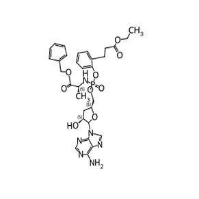 CCOC(=O)CCc1ccccc1OP(=O)(N[C@@H](C)C(=O)OCc1ccccc1)OC[C@@H]1C[C@H](O)C(n2cnc3c(N)ncnc32)O1